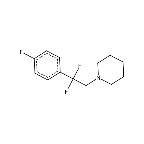 Fc1ccc(C(F)(F)CN2CCCCC2)cc1